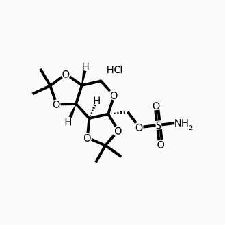 CC1(C)O[C@@H]2[C@@H](CO[C@@]3(COS(N)(=O)=O)OC(C)(C)O[C@@H]23)O1.Cl